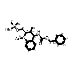 CC(=O)N1c2ccccc2C(NC(=O)OCc2ccccc2)C(C)[C@@H]1CO[Si](C)(C)C(C)(C)C